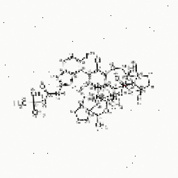 CC(Oc1nc2c3c(c(Cl)c(-c4c(F)ccc5sc(NC(=O)OC(C)(C)C)cc45)c(F)c3n1)OC[C@@H]1[C@@H]3CC[C@H](CN21)N3C(=O)OC(C)(C)C)[C@@]12CCCN1C[C@H](F)C2